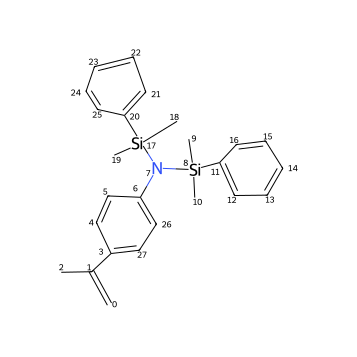 C=C(C)c1ccc(N([Si](C)(C)c2ccccc2)[Si](C)(C)c2ccccc2)cc1